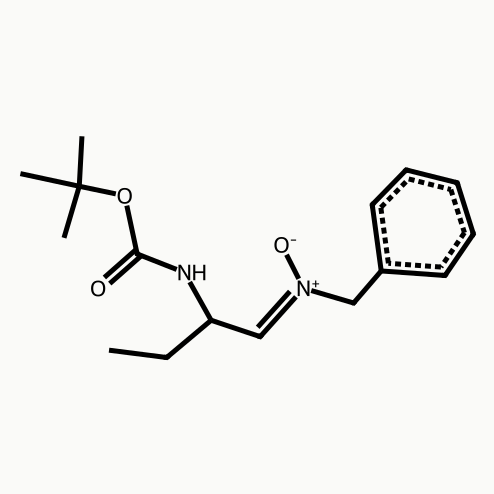 CCC(C=[N+]([O-])Cc1ccccc1)NC(=O)OC(C)(C)C